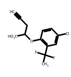 C#CCC(Oc1ccc(Cl)cc1C(C)(F)F)C(=O)O